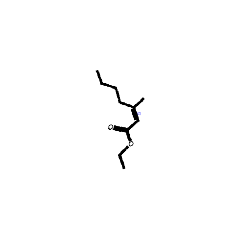 CCCC/C(C)=C\C(=O)OCC